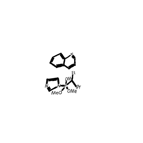 CCC(C(C)C)P(OC)(OC)(OC)n1ccnc1.c1ccc2ncccc2c1